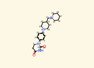 O=C1CCN(c2ccc(N3CCC(CN4CCCCC4)CC3)cc2)C(=O)N1